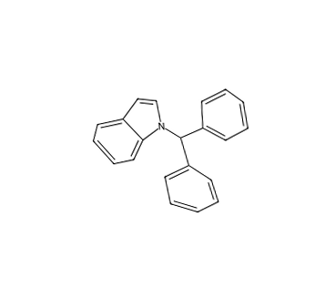 c1ccc(C(c2ccccc2)n2ccc3ccccc32)cc1